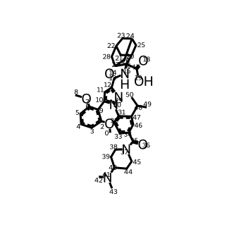 COc1cccc(OC)c1-c1cc(C(=O)NC2(C(=O)O)C3CC4CC(C3)CC2C4)nn1-c1ccc(C(=O)N2CCC(N(C)C)CC2)cc1C(C)C